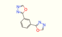 c1cc(-c2nnco2)cc(-c2nnco2)c1